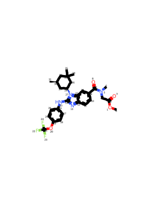 COC(=O)CN(C)C(=O)c1ccc2nc(Nc3ccc(OC(F)(F)F)cc3)n([C@H]3C[C@@H](C)CC(C)(C)C3)c2c1